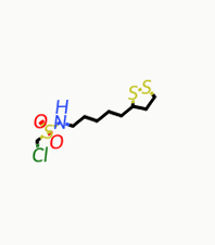 O=S(=O)(CCl)NCCCCCC1CCSS1